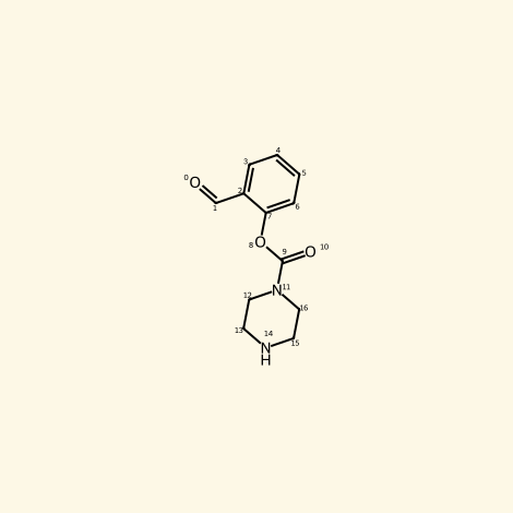 O=Cc1ccccc1OC(=O)N1CCNCC1